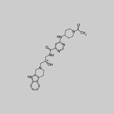 CC(=O)N1CCC(Nc2cc(C(=O)NC[C@@H](O)CN3CCc4c([nH]c5ccccc45)C3)ncn2)CC1